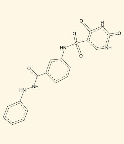 O=C(NNc1ccccc1)c1cccc(NS(=O)(=O)c2c[nH]c(=O)[nH]c2=O)c1